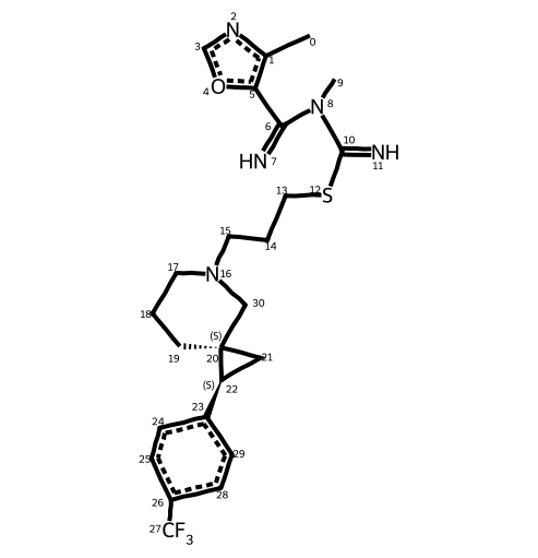 Cc1ncoc1C(=N)N(C)C(=N)SCCCN1CCC[C@@]2(C[C@H]2c2ccc(C(F)(F)F)cc2)C1